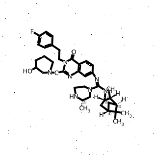 C[C@H]1[C@@H](NC(=Nc2ccc3c(=O)n(CCc4ccc(F)cc4)c(CN4CCCC(O)C4)nc3c2)N2CCN[C@@H](C)C2)C[C@@H]2C[C@@H]1C2(C)C